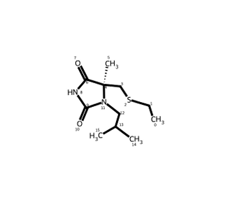 CCSC[C@]1(C)C(=O)NC(=O)N1CC(C)C